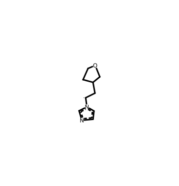 [CH](CC1CCOC1)n1ccnc1